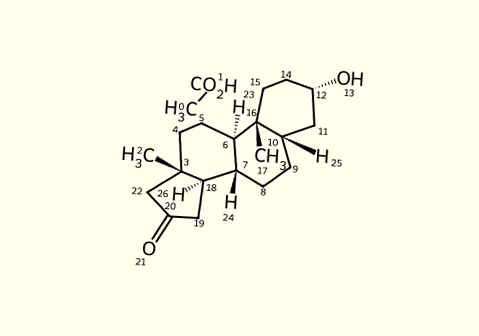 CC(=O)O.C[C@@]12CC[C@@H]3[C@H](CC[C@H]4C[C@@H](O)CC[C@]43C)[C@H]1CC(=O)C2